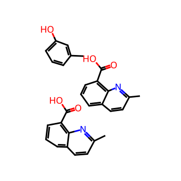 Cc1ccc2cccc(C(=O)O)c2n1.Cc1ccc2cccc(C(=O)O)c2n1.Cc1cccc(O)c1